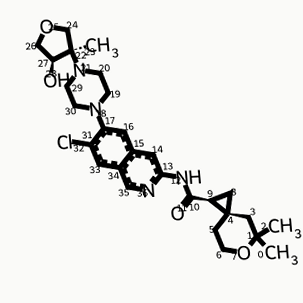 CC1(C)C[C@]2(CCO1)C[C@@H]2C(=O)Nc1cc2cc(N3CCN([C@]4(C)COC[C@@H]4O)CC3)c(Cl)cc2cn1